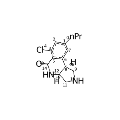 CCCc1cc(Cl)c2c(c1)[C@H]1CNC[C@@H]1NC2=O